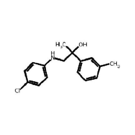 Cc1cccc(C(C)(O)CNc2ccc(Cl)cc2)c1